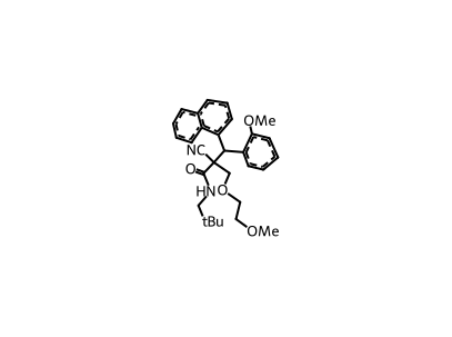 COCCOCC(C#N)(C(=O)NCC(C)(C)C)C(c1ccccc1OC)c1cccc2ccccc12